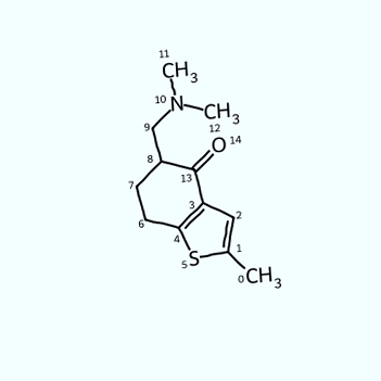 Cc1cc2c(s1)CCC(CN(C)C)C2=O